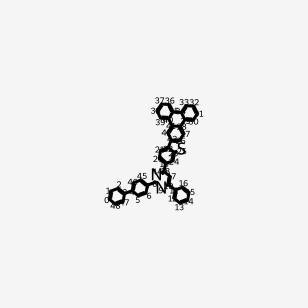 c1ccc(-c2ccc(-c3nc(-c4ccccc4)cc(-c4ccc5c(c4)sc4cc6c7ccccc7c7ccccc7c6cc45)n3)cc2)cc1